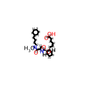 CN(CCCCC1CCCCC1)C(=O)c1coc([C@H]2[C@@H](C/C=C\CCC(=O)O)[C@@H]3CC[C@H]2O3)n1